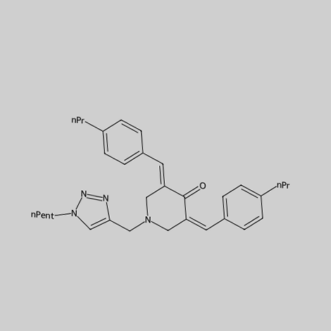 CCCCCn1cc(CN2C/C(=C/c3ccc(CCC)cc3)C(=O)/C(=C/c3ccc(CCC)cc3)C2)nn1